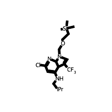 CC(C)CNC1=CC(Cl)=NC2C1C(C(F)(F)F)=CN2COCC[Si](C)(C)C